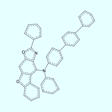 c1ccc(-c2ccc(-c3ccc(N(c4ccccc4)c4c5nc(-c6ccccc6)oc5cc5oc6ccccc6c45)cc3)cc2)cc1